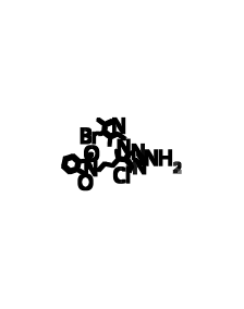 Cc1cnc(Cn2cc(CCCN3C(=O)c4ccccc4C3=O)c3c(Cl)nc(N)nc32)c(C)c1Br